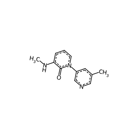 CNc1cccn(-c2cncc(C)c2)c1=O